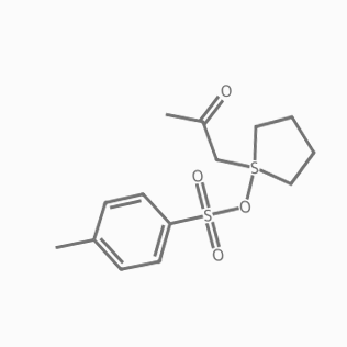 CC(=O)CS1(OS(=O)(=O)c2ccc(C)cc2)CCCC1